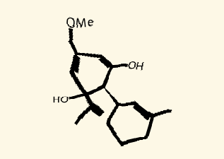 C=C(C)C1(O)C=C(COC)C=C(O)[C@H]1C1C=C(C)CCC1